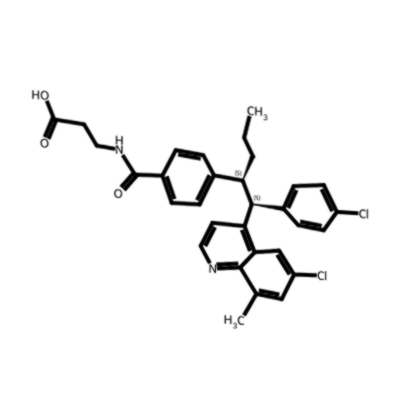 CCC[C@H](c1ccc(C(=O)NCCC(=O)O)cc1)[C@@H](c1ccc(Cl)cc1)c1ccnc2c(C)cc(Cl)cc12